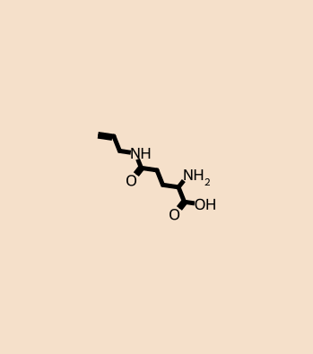 C=CCNC(=O)CCC(N)C(=O)O